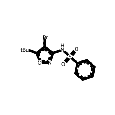 CC(C)(C)c1onc(NS(=O)(=O)c2ccccc2)c1Br